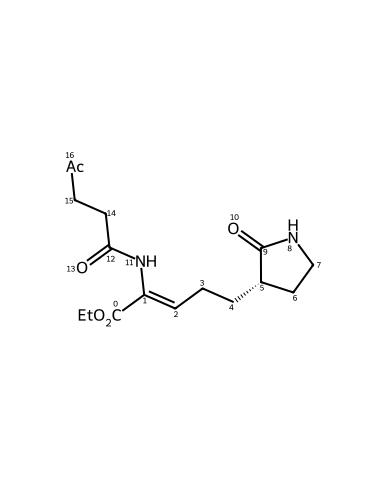 CCOC(=O)C(=CCC[C@H]1CCNC1=O)NC(=O)CCC(C)=O